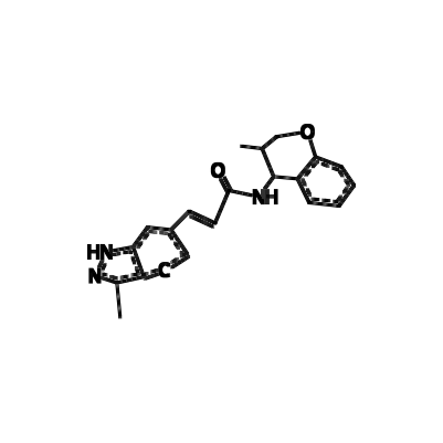 Cc1n[nH]c2cc(C=CC(=O)NC3c4ccccc4OCC3C)ccc12